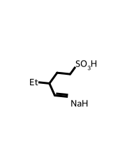 C=CC(CC)CCS(=O)(=O)O.[NaH]